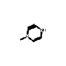 CN1C#CNC=C1